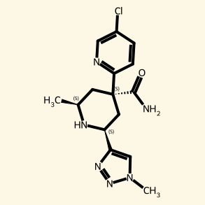 C[C@H]1C[C@@](C(N)=O)(c2ccc(Cl)cn2)C[C@@H](c2cn(C)nn2)N1